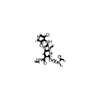 CCNC(=O)c1cc2nc(Nc3c(Cl)cncc3Cl)n(C)c2nc1OCCN(C)C(C)=O